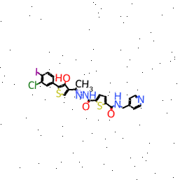 C/C(=N\NC(=O)c1ccc(C(=O)NCc2ccncc2)s1)c1csc(-c2ccc(I)c(Cl)c2)c1O